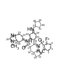 Cc1cccc(F)c1C(=O)N1C2CCCC2CC(C(=O)Nc2ccc3ncn(C)c3c2)C1c1ccc(NC2CCCC2)cc1